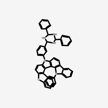 c1ccc(C2NC(c3ccccc3)NC(c3cccc(-n4c5ccc6oc7ccccc7c6c5c5c4ccc4c6ccccc6n(-c6ccccc6)c45)c3)N2)cc1